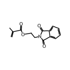 C=C(C)C(=O)OCCN1C(=O)c2ccccc2C1=O